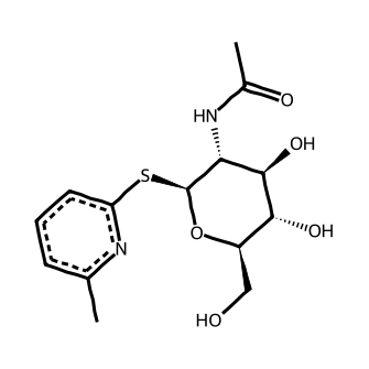 CC(=O)N[C@@H]1[C@@H](O)[C@H](O)[C@@H](CO)O[C@H]1Sc1cccc(C)n1